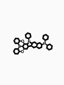 c1ccc(N(c2ccccc2)c2ccc3cc4c5cc6c7c(c5n(-c5ccccc5)c4cc3c2)Oc2ccccc2B7c2ccccc2O6)cc1